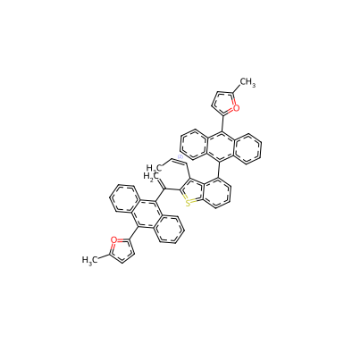 C=C(c1sc2cccc(-c3c4ccccc4c(-c4ccc(C)o4)c4ccccc34)c2c1/C=C\C)c1c2ccccc2c(-c2ccc(C)o2)c2ccccc12